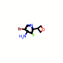 Nc1c(Br)cnc(C2COC2)c1F